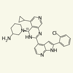 NC1CCCN([C@@H]2NC(c3ccnc4[nH]c(-c5ccccc5Cl)cc34)=Nc3cncc(C4CC4)c32)C1